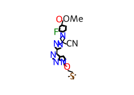 COC(=O)c1ccc(N2CC(CC#N)(n3cc(-c4ncnc5c4ccn5COCCS(C)(C)C)cn3)C2)c(F)c1